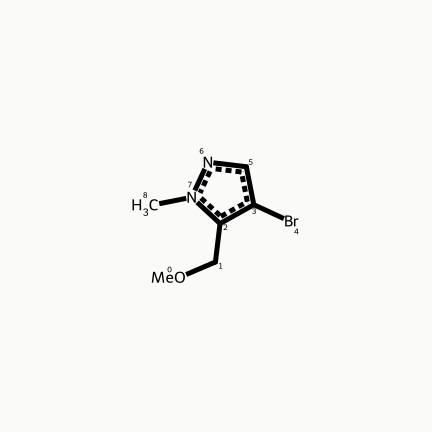 COCc1c(Br)cnn1C